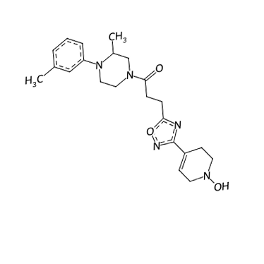 Cc1cccc(N2CCN(C(=O)CCc3nc(C4=CCN(O)CC4)no3)CC2C)c1